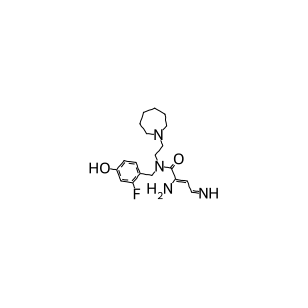 N=C/C=C(\N)C(=O)N(CCN1CCCCCC1)Cc1ccc(O)cc1F